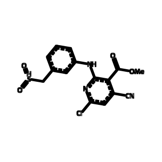 COC(=O)c1c(C#N)cc(Cl)nc1Nc1cccc(C[SH](=O)=O)c1